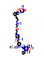 CC[C@@H]1C(=O)N(C)c2cnc(Nc3ccc(C(=O)NC4CCN(CCCOCCCNCCC#Cc5cccc6c5CN(C5CCC(=O)NC5=O)C6=O)CC4)cc3OC)nc2N1C1CCCC1